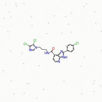 O=C(NCCCn1cnc(Cl)c1Cl)c1ccnc2[nH]c(-c3ccc(Cl)cc3)nc12